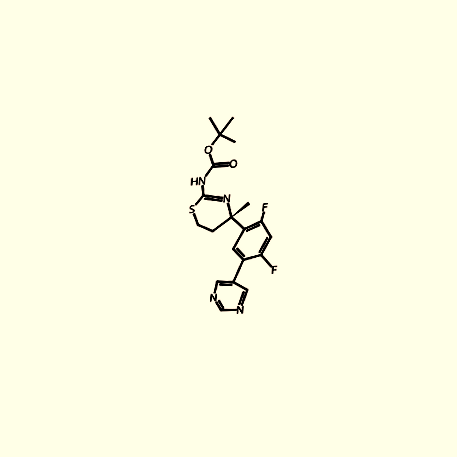 CC(C)(C)OC(=O)NC1=N[C@](C)(c2cc(-c3cncnc3)c(F)cc2F)CCS1